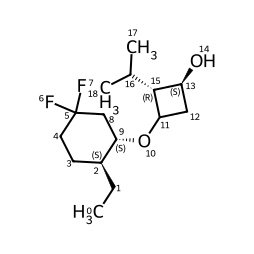 CC[C@H]1CCC(F)(F)C[C@@H]1OC1C[C@H](O)[C@H]1C(C)C